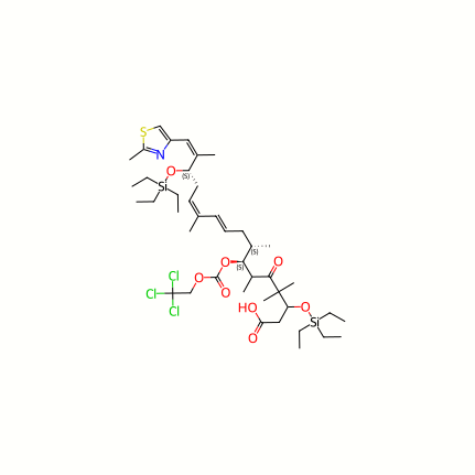 CC[Si](CC)(CC)OC(CC(=O)O)C(C)(C)C(=O)C(C)[C@@H](OC(=O)OCC(Cl)(Cl)Cl)[C@@H](C)CC=CC(C)=CC[C@H](O[Si](CC)(CC)CC)C(C)=Cc1csc(C)n1